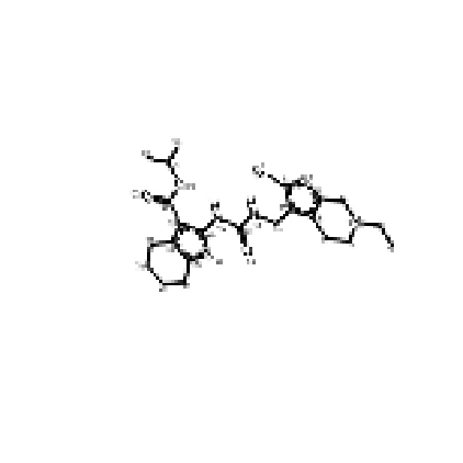 CCN1CCc2c(sc(Br)c2CNC(=O)Nc2sc3c(c2C(=O)OC(C)C)CCCC3)C1